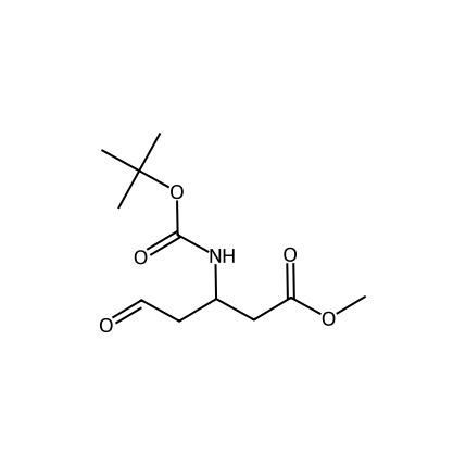 COC(=O)CC(CC=O)NC(=O)OC(C)(C)C